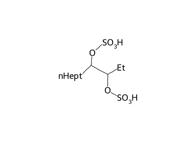 CCCCCCCC(OS(=O)(=O)O)C(CC)OS(=O)(=O)O